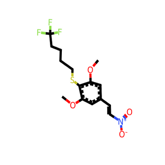 COc1cc(/C=C/[N+](=O)[O-])cc(OC)c1SCCCCC(F)(F)F